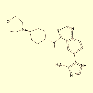 Cc1nc[nH]c1-c1ccc2ncnc(N[C@H]3CC[C@H](N4CCOCC4)CC3)c2c1